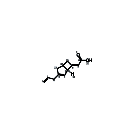 C=CCC1=C[C@@H]2C(=CC(=O)O)CC2C1